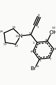 C#CC(c1cc(Br)ccc1O)N1CCCC1